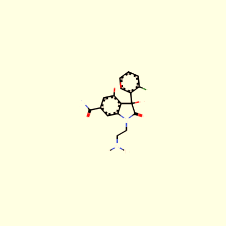 CCN(CC)CCN1C(=O)C(O)(c2ccccc2Cl)c2c(O)cc(C(N)=O)cc21